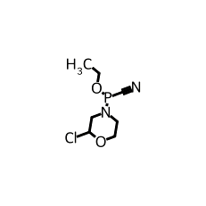 CCOP(C#N)N1CCOC(Cl)C1